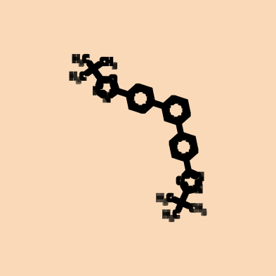 CC(C)(C)c1nnc(-c2ccc(-c3cccc(-c4ccc(-c5nnc(C(C)(C)C)o5)cc4)c3)cc2)o1